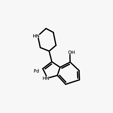 Oc1cccc2[nH]cc(C3CCCNC3)c12.[Pd]